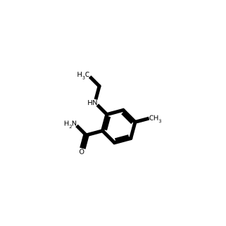 CCNc1cc(C)ccc1C(N)=O